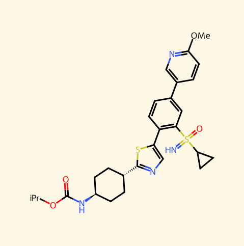 COc1ccc(-c2ccc(-c3cnc([C@H]4CC[C@H](NC(=O)OC(C)C)CC4)s3)c(S(=N)(=O)C3CC3)c2)cn1